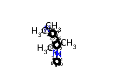 Cc1cc(/N=N/c2ccccc2)c(C)cc1Cc1ccc(N(C)C)cc1